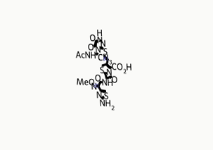 CO/N=C(\C(=O)NC1C(=O)N2C(C(=O)O)=C(/C=C/Sc3n[nH]c(=O)c(=O)n3C(C)NC(C)=O)CSC12)c1csc(N)n1